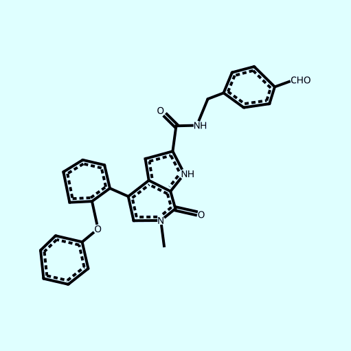 Cn1cc(-c2ccccc2Oc2ccccc2)c2cc(C(=O)NCc3ccc(C=O)cc3)[nH]c2c1=O